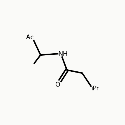 CC(=O)C(C)NC(=O)CC(C)C